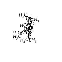 CCCOC(=O)OC(C)CC(c1ccc(OC(=O)OCC(C)CC)c(OC(=O)OCC(C)CC)c1)[C@H](N)C(=O)O